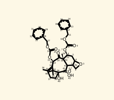 CC(=O)O[C@@]12COC1C[C@H](OC(=O)OCc1ccccc1)[C@@]1(C)C(=O)[C@H](OC(=O)OCc3ccccc3)C3=C(C)CC[C@@](O)([C@@H](O)C21)C3(C)C